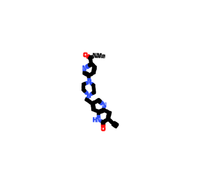 C#Cc1cc2ncc(CN3CCN(c4ccc(C(=O)NC)nc4)CC3)cc2[nH]c1=O